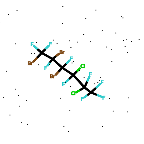 FC(F)(F)C(F)(Cl)C(F)(Cl)C(F)(Br)C(F)(Br)C(F)(F)Br